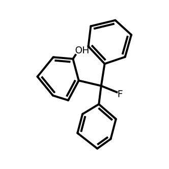 Oc1ccccc1C(F)(c1ccccc1)c1ccccc1